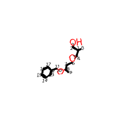 CC(CO)COCCC(C)OCc1ccccc1